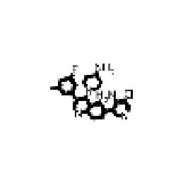 Cc1cc(F)cc(-c2cnc3ccc(-c4cncc(Cl)c4N)cc3c2N2CCC(N)CC2)c1